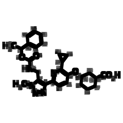 CC(OC(=O)NCc1c(-c2ccc(O[C@H]3CCC[C@H](C(=O)O)C3)c(C3CC3)n2)nnn1C)c1ccccc1